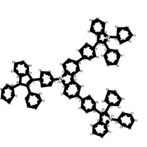 c1ccc(C2=C(c3ccc(-n4c5ccc(-c6ccc(-c7c(-c8ccccc8)n(-c8ccccc8)c8ccccc78)cc6)cc5c5cc(-c6ccc(-c7c(-c8ccccc8)n(-c8ccccc8)c8ccccc78)cc6)ccc54)cc3)c3ccccc3C2c2ccccc2)cc1